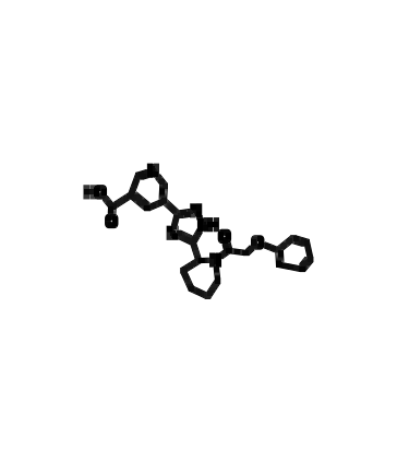 O=C(O)c1cncc(-c2n[nH]c(C3CCCCN3C(=O)COc3ccccc3)n2)c1